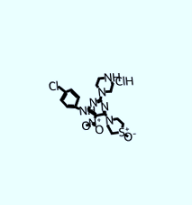 Cl.O=[N+]([O-])c1c(Nc2ccc(Cl)cc2)nc(N2CCNCC2)nc1N1CC[S+]([O-])CC1